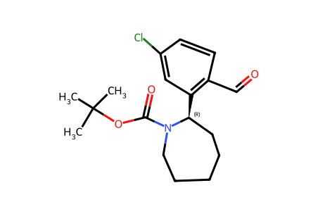 CC(C)(C)OC(=O)N1CCCCC[C@@H]1c1cc(Cl)ccc1C=O